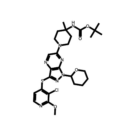 COc1nccc(Sc2nn(C3CCCCO3)c3nc(N4CCC(C)(NC(=O)OC(C)(C)C)CC4)cnc23)c1Cl